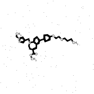 CCCCOCCOc1ccc(-c2ccc3c(c2)C=C(C(=O)OC)CCN3Cc2cnn(CC)c2)cc1